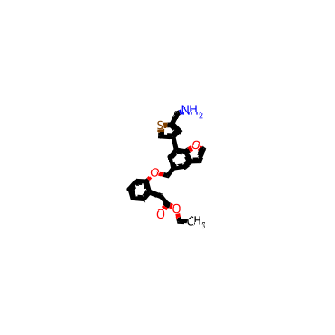 CCOC(=O)Cc1ccccc1OCc1cc(-c2csc(CN)c2)c2occc2c1